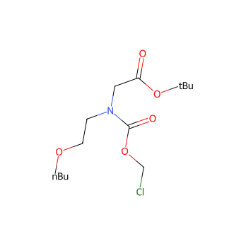 CCCCOCCN(CC(=O)OC(C)(C)C)C(=O)OCCl